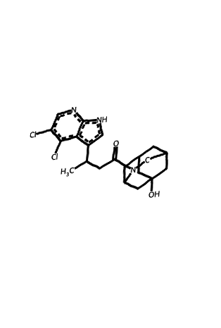 CC(CC(=O)N1CC2CC3CC1CC(O)(C3)C2)c1c[nH]c2ncc(Cl)c(Cl)c12